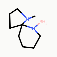 BN1CCCCC12CCCN2C